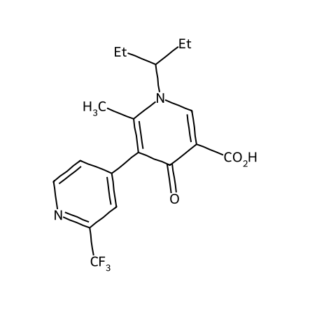 CCC(CC)n1cc(C(=O)O)c(=O)c(-c2ccnc(C(F)(F)F)c2)c1C